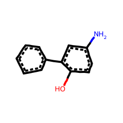 Nc1ccc(O)c(-c2ccccc2)c1